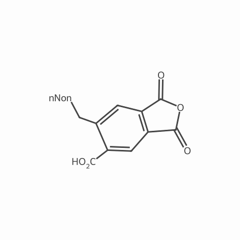 CCCCCCCCCCc1cc2c(cc1C(=O)O)C(=O)OC2=O